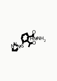 CC(=O)c1c(Sn2ccnn2)cccc1C(=O)NN